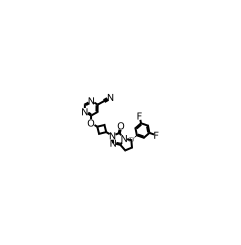 N#Cc1cc(OC2CC(n3nc4n(c3=O)[C@H](c3cc(F)cc(F)c3)CC4)C2)ncn1